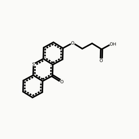 O=C(O)CCOc1ccc2sc3ccccc3c(=O)c2c1